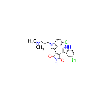 CN(C)CCCn1cc(C2=C(c3c[nH]c4ccc(Cl)cc34)C(=O)NC2=O)c2cc(Cl)ccc21